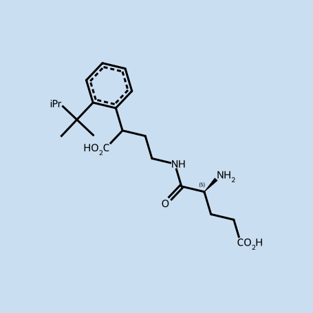 CC(C)C(C)(C)c1ccccc1C(CCNC(=O)[C@@H](N)CCC(=O)O)C(=O)O